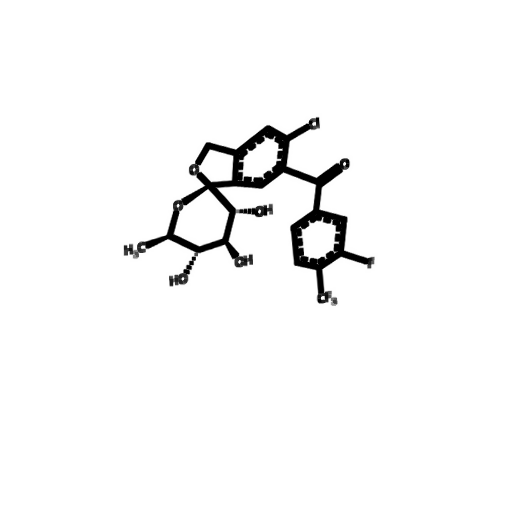 C[C@H]1O[C@]2(OCc3cc(Cl)c(C(=O)c4ccc(C(F)(F)F)c(F)c4)cc32)[C@H](O)[C@@H](O)[C@@H]1O